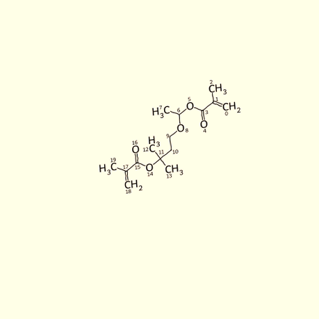 C=C(C)C(=O)OC(C)OCCC(C)(C)OC(=O)C(=C)C